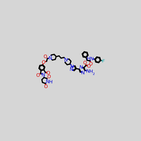 Nc1ncc(-c2cnn(C3CCN(CCCC4CCN(C(=O)COc5ccc6c(c5)C(=O)N(C5CCC(=O)NC5=O)C6=O)CC4)CC3)c2)nc1C(=O)O[C@@H](C(=O)Nc1ccc(F)cc1)c1ccccc1